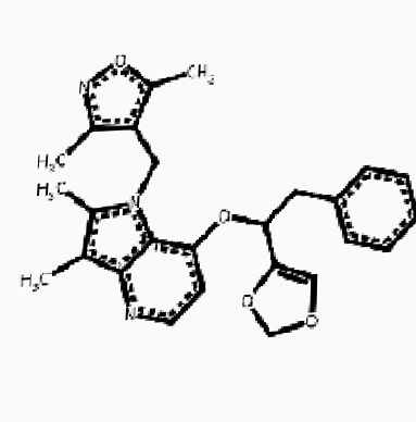 Cc1noc(C)c1Cn1c(C)c(C)c2nccc(OC(Cc3ccccc3)C3=COCO3)c21